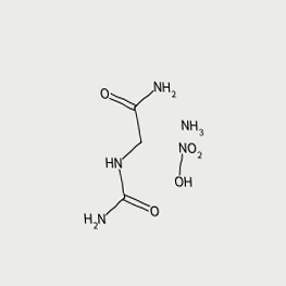 N.NC(=O)CNC(N)=O.O=[N+]([O-])O